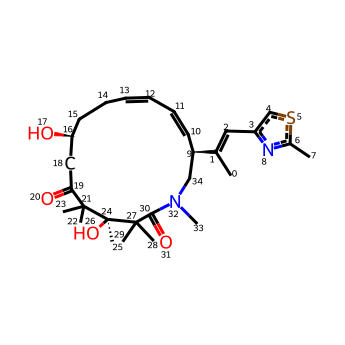 CC(=Cc1csc(C)n1)[C@@H]1C=CC=CCC[C@H](O)CC(=O)C(C)(C)[C@](C)(O)C(C)(C)C(=O)N(C)C1